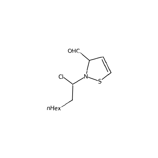 CCCCCCCC(Cl)N1SC=CC1C=O